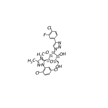 CO[C@@H]1[C@@H](n2cc(-c3ccc(Cl)c(F)c3)nn2)[C@@H](O)[C@@H](CO)O[C@H]1c1nc(C)nn1-c1cc(Cl)ccc1Cl